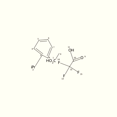 CC(=O)O.CC(C)c1ccccc1.O=C(O)C(F)(F)F